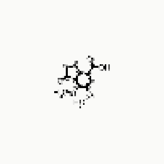 COc1cc(C(=O)O)c2c(c1OC)C(=O)CC2